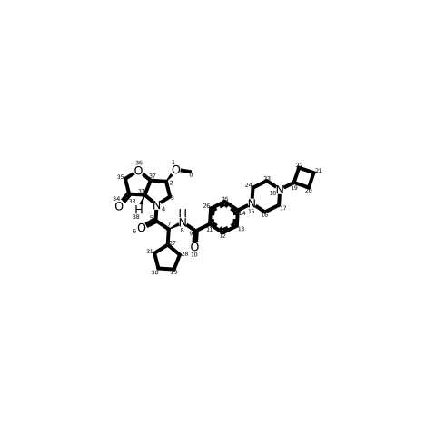 CO[C@H]1CN(C(=O)[C@@H](NC(=O)c2ccc(N3CCN(C4CCC4)CC3)cc2)C2CCCC2)[C@@H]2C(=O)COC12